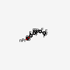 CCCC12COC(c3ccc(-c4cc(F)c(C(F)(F)Oc5ccc(-c6cc(F)c(F)c(F)c6)c(F)c5)c(F)c4)c(F)c3)(OC1)OC2